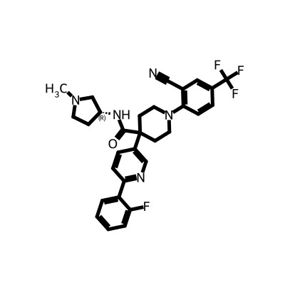 CN1CC[C@@H](NC(=O)C2(c3ccc(-c4ccccc4F)nc3)CCN(c3ccc(C(F)(F)F)cc3C#N)CC2)C1